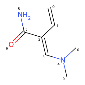 C=C/C(=C\N(C)C)C(N)=O